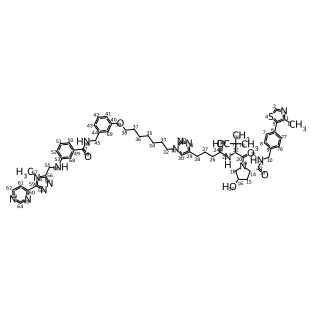 Cc1ncsc1-c1ccc(CNC(=O)[C@@H]2C[C@@H](O)CN2C(=O)[C@@H](NC(=O)CCCc2cn(CCCCCCCOc3cccc(CNC(=O)c4cccc(NCc5nnc(-c6ccncn6)n5C)c4)c3)nn2)C(C)(C)C)cc1